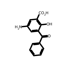 Nc1cc(C(=O)O)c(O)c(C(=O)c2ccccc2)c1